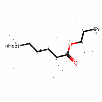 CCCCCCCCCCCC(=O)OCCC(C)C